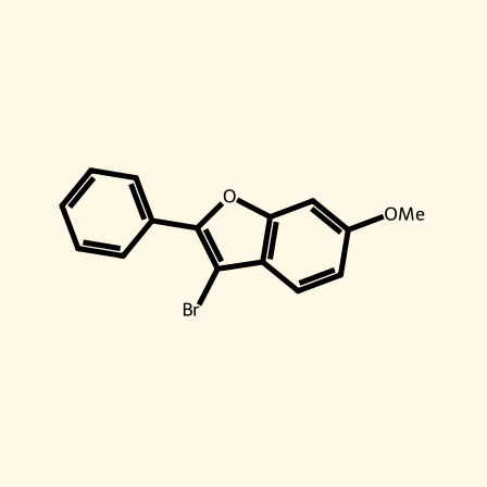 COc1ccc2c(Br)c(-c3ccccc3)oc2c1